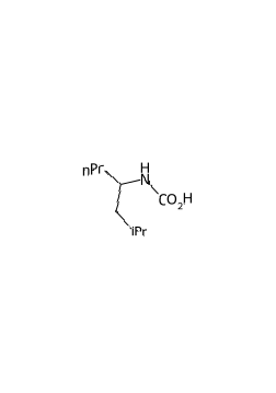 CCCC(CC(C)C)NC(=O)O